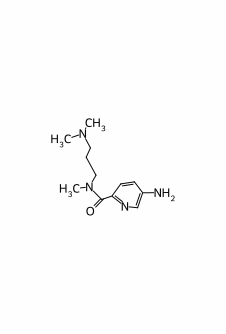 CN(C)CCCN(C)C(=O)c1ccc(N)cn1